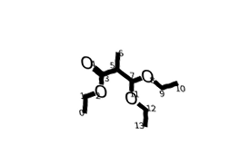 CCOC(=O)C(C)C(OCC)OCC